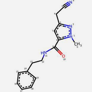 Cn1nc(CC#N)cc1C(=O)NCCc1ccccc1